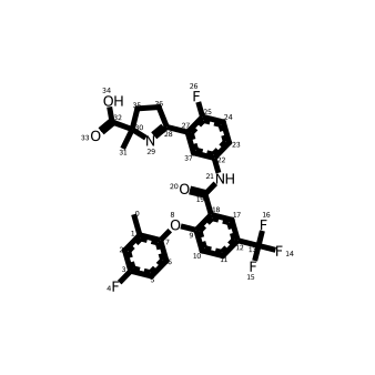 Cc1cc(F)ccc1Oc1ccc(C(F)(F)F)cc1C(=O)Nc1ccc(F)c(C2=NC(C)(C(=O)O)CC2)c1